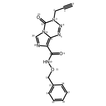 C#CCn1nnc2c(C(=O)NOCc3ccccc3)ncn2c1=O